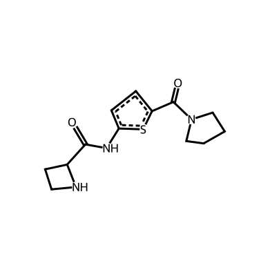 O=C(Nc1ccc(C(=O)N2CCCC2)s1)C1CCN1